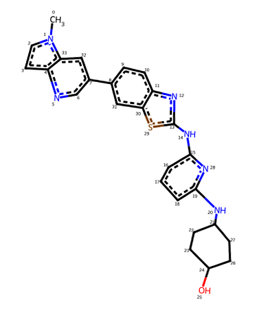 Cn1ccc2ncc(-c3ccc4nc(Nc5cccc(NC6CCC(O)CC6)n5)sc4c3)cc21